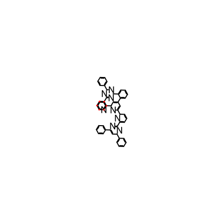 c1ccc(-c2cc(-c3ccccc3)nc(-c3cccc(-c4cc(-c5ccccc5-c5nc(-c6ccccc6)nc(-c6ccccc6)n5)cc(-c5ccccn5)n4)n3)n2)cc1